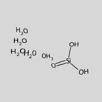 O.O.O.O.O.O=[Si](O)O